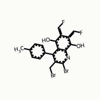 Cc1ccc(-c2c(CBr)c(Br)nc3c(O)c(=CF)c(=CF)c(O)c23)cc1